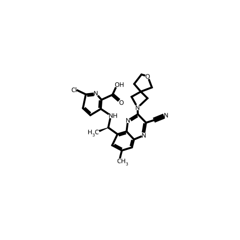 Cc1cc([C@@H](C)Nc2ccc(Cl)nc2C(=O)O)c2nc(N3CC4(CCOC4)C3)c(C#N)nc2c1